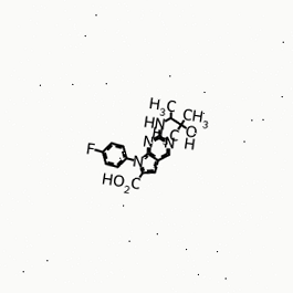 CC(Nc1ncc2cc(C(=O)O)n(-c3ccc(F)cc3)c2n1)C(C)(C)O